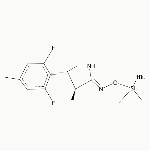 Cc1cc(F)c([C@@H]2CN/C(=N\O[Si](C)(C)C(C)(C)C)[C@H]2C)c(F)c1